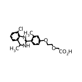 Cc1cc(OCCOCC(=O)O)ccc1C1=Nc2c(Cl)cccc2C(C)N1